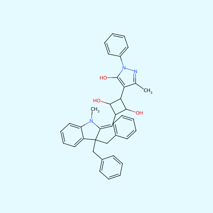 Cc1nn(-c2ccccc2)c(O)c1C1C(O)C(C=C2N(C)c3ccccc3C2(Cc2ccccc2)Cc2ccccc2)C1O